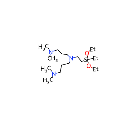 CCO[Si](CC)(CCN(CCCN(C)C)CCCN(C)C)OCC